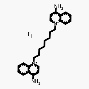 Nc1cc[n+](CCCCCCCC[n+]2ccc(N)c3ccccc32)c2ccccc12.[I-].[I-]